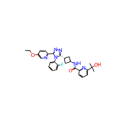 CCOc1ccc(-c2nnc([C@H]3C[C@H](NC(=O)c4cccc(C(C)(C)O)n4)C3)n2-c2ccccc2F)nc1